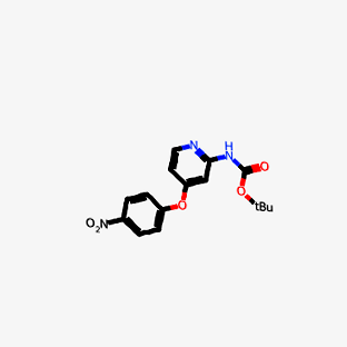 CC(C)(C)OC(=O)Nc1cc(Oc2ccc([N+](=O)[O-])cc2)ccn1